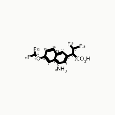 N.O=C(O)C(c1ccc2cc(OC(F)F)ccc2c1)C(F)F